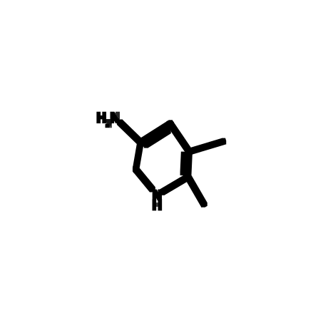 CC1=C(C)NCC(N)=C1